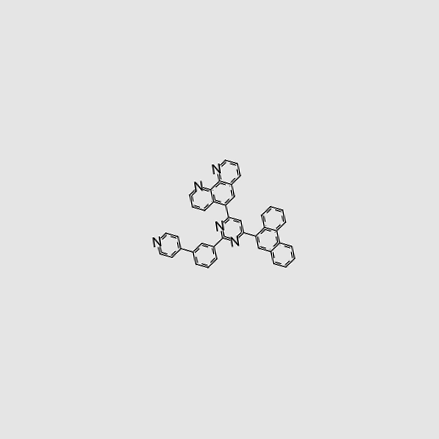 c1cc(-c2ccncc2)cc(-c2nc(-c3cc4ccccc4c4ccccc34)cc(-c3cc4cccnc4c4ncccc34)n2)c1